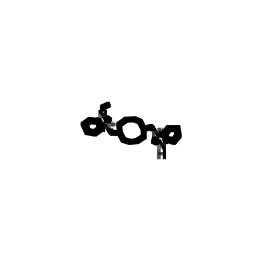 CCn1c[n+](CC2CCCCC(C[n+]3c[nH]c4ccccc43)CCCC2)c2ccccc21